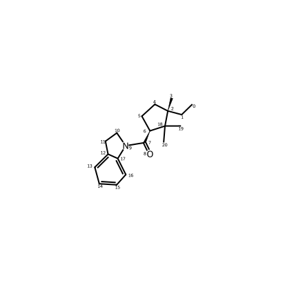 CC[C@@]1(C)CC[C@H](C(=O)N2CCc3ccccc32)C1(C)C